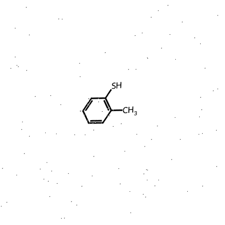 Cc1cc[c][c]c1S